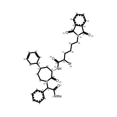 CNC(=O)C(c1ccccc1)N1CC[C@@H](C2C=CC=CC2)C[C@H](NC(=O)C(Br)CCCCN2C(=O)c3ccccc3C2=O)C1=O